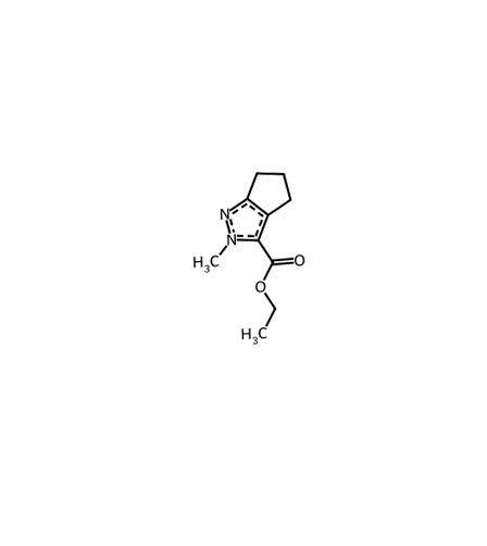 CCOC(=O)c1c2c(nn1C)CCC2